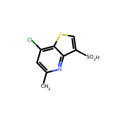 Cc1cc(Cl)c2scc(S(=O)(=O)O)c2n1